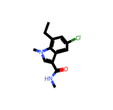 CCc1cc(Cl)cc2c(C(=O)NC)cn(C)c12